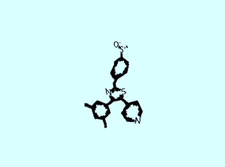 Cc1cc(C)cc(-c2nc(-c3ccc([S+](C)[O-])cc3)sc2-c2ccncc2)c1